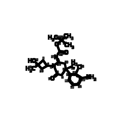 CC1(O)CC(N2C(=O)C[C@@](C)(c3cccc(N)c3Cl)CC2=NC(=O)OC(C)(C)C)C1